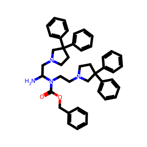 NC(CN1CCC(c2ccccc2)(c2ccccc2)C1)N(CCN1CCC(c2ccccc2)(c2ccccc2)C1)C(=O)OCc1ccccc1